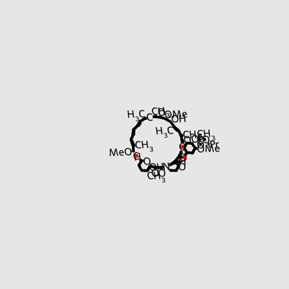 COC1CC(C[C@@H]2C3CC(=O)C(C)/C=C(\C)C(O)[C@@H](OC)C(=O)C(C)CC(C)/C=C/C=C/C=C(\C)[C@@H](OC)C[C@@H]4CCC(C)C(O)(O4)C(=O)C(=O)N4CCCC2C4C(=O)O3)CC[C@H]1OP(C)(=O)OC(C)C